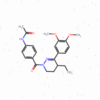 CCC1CCN(C(=O)c2ccc(NC(C)=O)cc2)N=C1c1ccc(OC)c(OC)c1